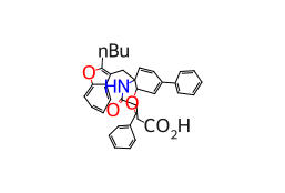 CCCCc1oc2ccccc2c1CC1(NC(=O)CCC(=O)O)C=CC(c2ccccc2)=CC1OCc1ccccc1